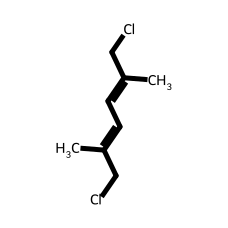 C/C(=C\C=C(/C)CCl)CCl